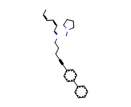 C\C=C/C=C(\C=N\CCCC#Cc1ccc(-c2ccccc2)cc1)[C@@H]1CCCN1C